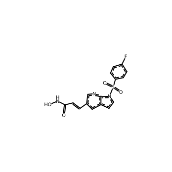 O=C(/C=C/c1cnc2c(ccn2S(=O)(=O)c2ccc(F)cc2)c1)NO